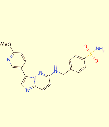 COc1ccc(-c2cnc3ccc(NCc4ccc(S(N)(=O)=O)cc4)nn23)cn1